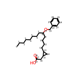 CCCCCCCCC(CCCCC1CC1CC(=O)O)OCc1ccccc1